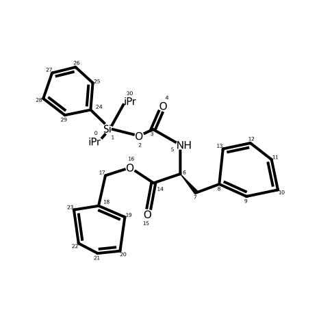 CC(C)[Si](OC(=O)N[C@@H](Cc1ccccc1)C(=O)OCc1ccccc1)(c1ccccc1)C(C)C